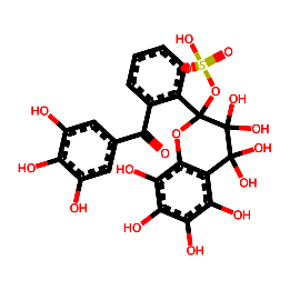 O=C(c1cc(O)c(O)c(O)c1)c1ccccc1C1(OS(=O)(=O)O)Oc2c(O)c(O)c(O)c(O)c2C(O)(O)C1(O)O